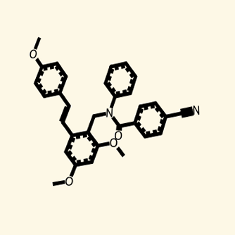 COc1ccc(C=Cc2cc(OC)cc(OC)c2CN(C(=O)c2ccc(C#N)cc2)c2ccccc2)cc1